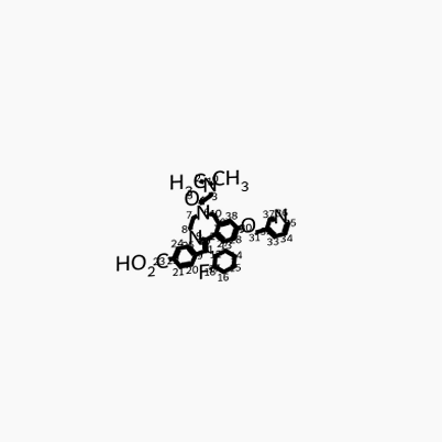 CN(C)CC(=O)N1CCn2c(c([C@@H]3CCCC[C@H]3F)c3ccc(C(=O)O)cc32)-c2ccc(OCc3cccnc3)cc2C1